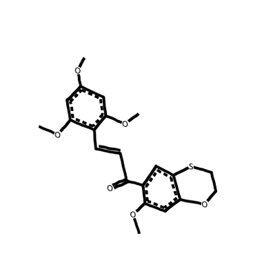 COc1cc(OC)c(C=CC(=O)c2cc3c(cc2OC)OCCS3)c(OC)c1